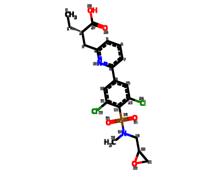 CC[C@@H](Cc1cccc(-c2cc(Cl)c(S(=O)(=O)N(C)CC3CO3)c(Cl)c2)n1)C(=O)O